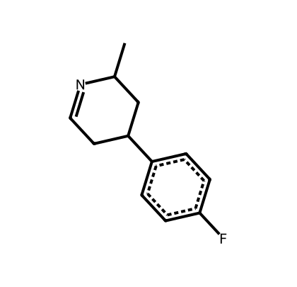 CC1CC(c2ccc(F)cc2)CC=N1